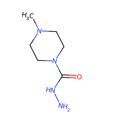 CN1CCN(C(=O)NN)CC1